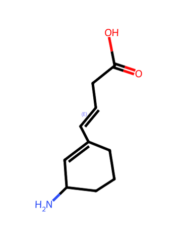 NC1C=C(/C=C/CC(=O)O)CCC1